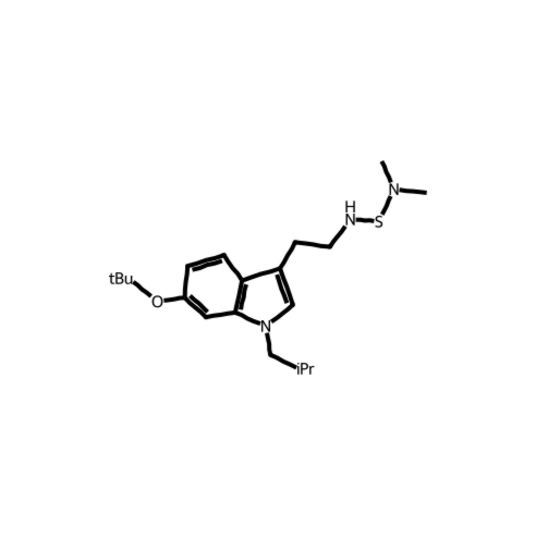 CC(C)Cn1cc(CCNSN(C)C)c2ccc(OC(C)(C)C)cc21